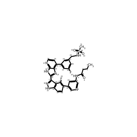 CCCC(=O)Nc1cncc(-c2ccc3[nH]nc(-c4nc5c(-c6cc(F)cc(CNS(C)(=O)=O)c6)ccnc5[nH]4)c3c2F)c1